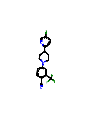 N#Cc1ccc(N2CCC(c3ccc(Br)cn3)CC2)cc1C(F)(F)F